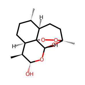 C[C@H]1[C@H]2CC[C@H](C)[C@H]3CC[C@]4(C)OO[C@]23[C@@H](O[C@@H]1O)O4